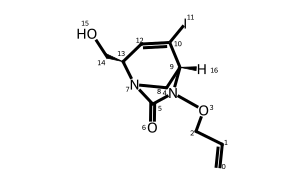 C=CCON1C(=O)N2C[C@@H]1C(I)=C[C@@H]2CO